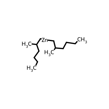 CCCCC(C)[CH2][Zn][CH2]C(C)CCCC